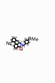 COc1ccc(Cn2ccc3c(-c4c(C)cccc4C#N)cccc3c2=O)cc1